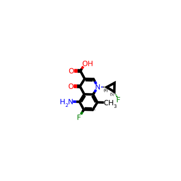 Cc1[c]c(F)c(N)c2c(=O)c(C(=O)O)cn([C@@H]3C[C@@H]3F)c12